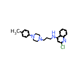 Cc1ccc(N2CCN(CCCNc3cc(Cl)nc4ccccc34)CC2)cc1